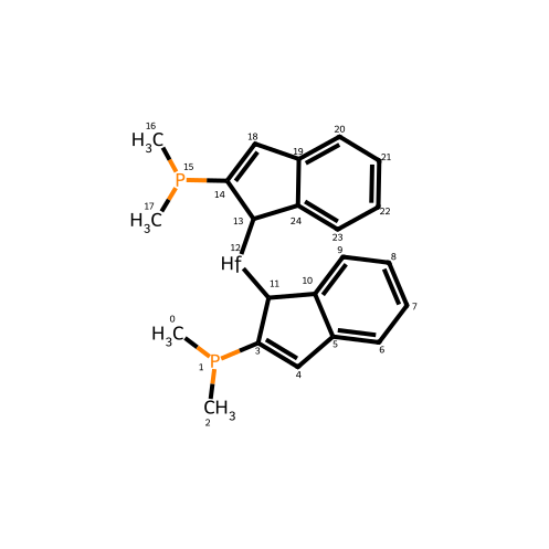 CP(C)C1=Cc2ccccc2[CH]1[Hf][CH]1C(P(C)C)=Cc2ccccc21